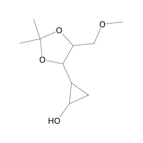 COCC1OC(C)(C)OC1C1CC1O